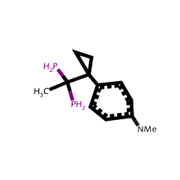 CNc1ccc(C2(C(C)(P)P)CC2)cc1